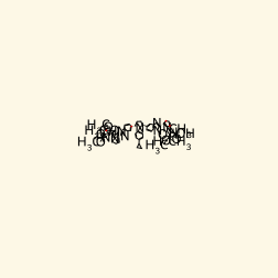 COC(=O)N[C@H](C(=O)N1CCC[C@H]1c1nc2cc([C@@H]3CC[C@@H](c4ccc5[nH]c([C@@H]6CCCN6C(=O)[C@H]([C@@H](C)OC)N(C)C(=O)O)nc5c4)N3c3ccc(C4CC4)cc3)ccc2[nH]1)C(C)OC